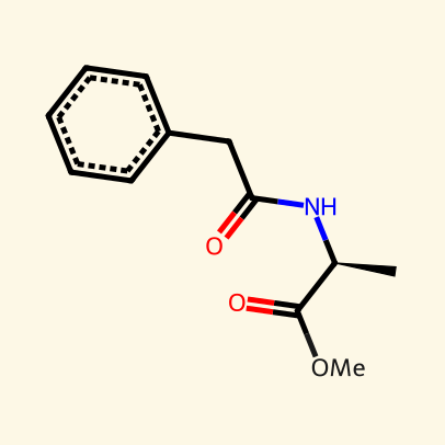 COC(=O)[C@H](C)NC(=O)Cc1ccccc1